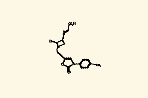 CCC1C(OCC(=O)O)CN1CC1CN(c2ccc(C#N)cc2)C(=O)O1